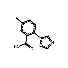 Cc1ccc(-n2cncn2)c(C(=O)O)c1